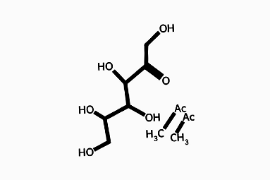 CC(C)=O.CC(C)=O.O=C(CO)C(O)C(O)C(O)CO